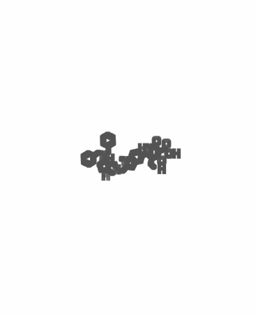 CCc1c(-c2ccc3c(c2)cc(CN2C[C@H]4CC[C@@H](N(Cc5ccccc5)Cc5ccccc5)[C@H]4C2)n3C)[nH]c(=O)c(C(=O)O)c1O